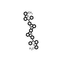 Cc1cccc2c1oc1c(C(c3ccccc3)c3ccc4c(c3)c3cccc5c6cc7c(cc6n4c35)c3cccc4c5cc(C(c6ccccc6)c6cccc8c6oc6c(C)cccc68)ccc5n7c43)cccc12